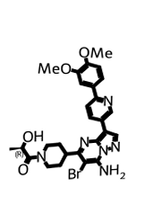 COc1ccc(-c2ccc(-c3cnn4c(N)c(Br)c(C5CCN(C(=O)[C@@H](C)O)CC5)nc34)cn2)cc1OC